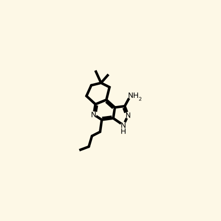 CCCCc1nc2c(c3c(N)n[nH]c13)CC(C)(C)CC2